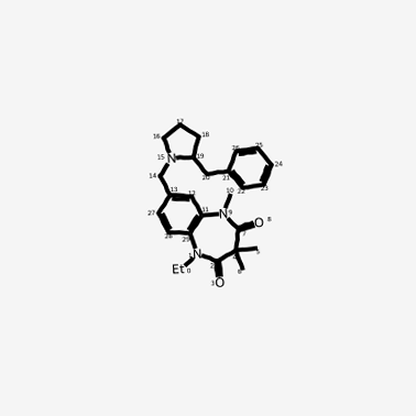 CCN1C(=O)C(C)(C)C(=O)N(C)c2cc(CN3CCCC3Cc3ccccc3)ccc21